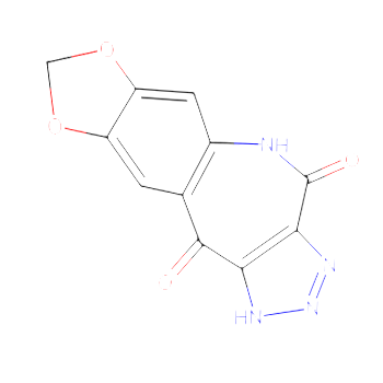 O=c1[nH]c2cc3c(cc2c(=O)c2[nH]nnc12)OCO3